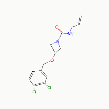 C=CCNC(=O)N1CC(OCc2ccc(Cl)c(Cl)c2)C1